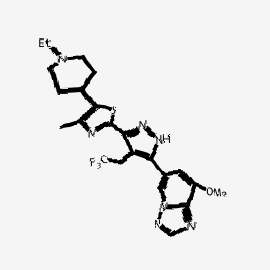 CCN1CCC(c2sc(-c3n[nH]c(-c4cc(OC)c5ncnn5c4)c3CC(F)(F)F)nc2C)CC1